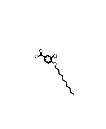 CCCCCCCCCCOc1ccc(C(=O)Cl)cc1Cl